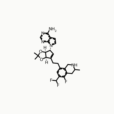 CC1Cc2c(F)c(C(F)F)cc(CCC3=C[C@@H](n4ccc5c(N)ncnc54)[C@@H]4OC(C)(C)O[C@H]34)c2CN1